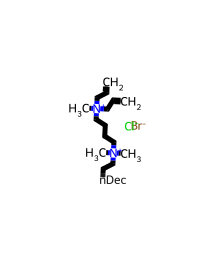 C=CC[N+](C)(CC=C)CCCC[N+](C)(C)CCCCCCCCCCCC.[Br-].[Cl-]